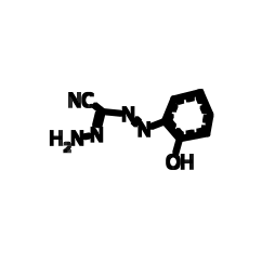 N#CC(N=Nc1ccccc1O)=NN